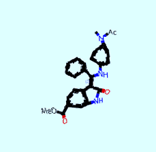 COC(=O)c1ccc2c(c1)NC(=O)/C2=C(\Nc1ccc(N(C)C(C)=O)cc1)c1ccccc1